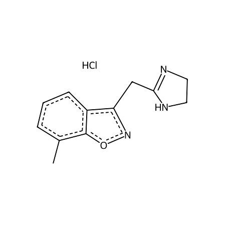 Cc1cccc2c(CC3=NCCN3)noc12.Cl